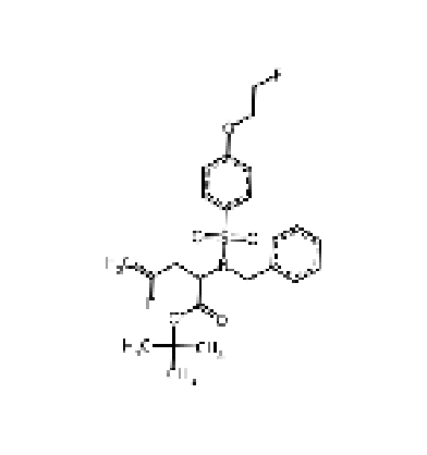 C=C(F)CC(C(=O)OC(C)(C)C)N(Cc1ccccc1)S(=O)(=O)c1ccc(OCCF)cc1